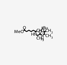 C=C(CCCCC(=O)OC)N[C@@H](C)C(=O)N[C@@H](C)C(=C)OC(C)(C)C